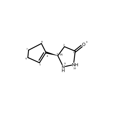 O=C1C[C@H](C2=CCCC2)NN1